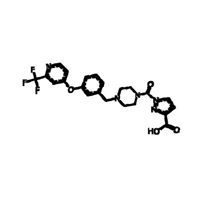 O=C(O)c1ccn(C(=O)N2CCN(Cc3cccc(Oc4ccnc(C(F)(F)F)c4)c3)CC2)n1